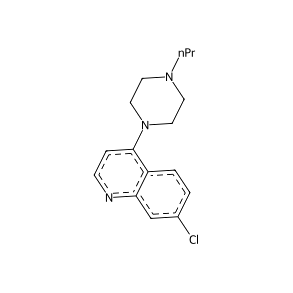 CCCN1CCN(c2ccnc3cc(Cl)ccc23)CC1